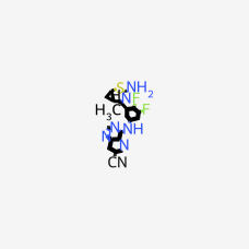 C[C@]1(c2cc(Nc3ncnc4cc(C#N)cnc34)cc(F)c2F)N=C(N)SC2C[C@H]21